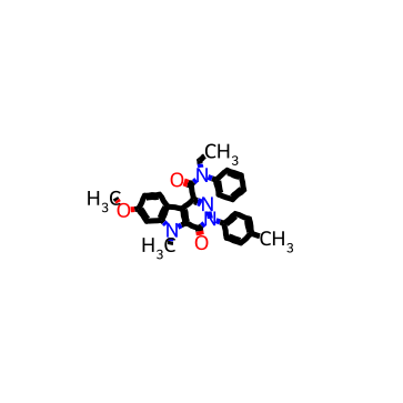 CCN(C(=O)c1nn(-c2ccc(C)cc2)c(=O)c2c1c1ccc(OC)cc1n2C)c1ccccc1